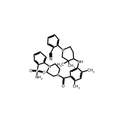 Cc1cc(C)c(C(=O)N2CCN(c3ccccc3S(N)(=O)=O)CC2)cc1NC1CCN(c2ccccc2C#N)CC1(C)C